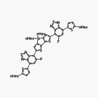 CCCCCCc1ccc(-c2cc(F)c(-c3cc4c(s3)-c3sc(-c5c(F)cc(-c6ccc(CCCCCC)s6)c6nsnc56)cc3[Si]4(CCCCCC)CCCCCC)c3nsnc23)s1